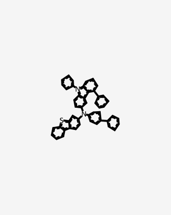 c1ccc(-c2ccc(N(c3ccc4c(c3)sc3ccccc34)c3ccc4c(c3)c3c(-c5ccccc5)cccc3n4-c3ccccc3)cc2)cc1